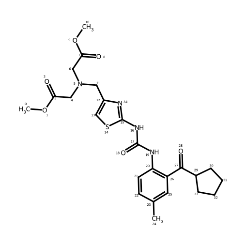 COC(=O)CN(CC(=O)OC)Cc1csc(NC(=O)Nc2ccc(C)cc2C(=O)C2CCCC2)n1